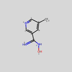 N=C(NO)c1cncc(C(F)(F)F)c1